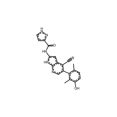 Cc1ccc(O)c(C)c1-c1cnc2[nH]c(NC(=O)c3cc[nH]n3)cc2c1C#N